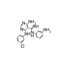 N=C(Nc1cccc(N)c1)c1c(N)ncnc1Nc1cccc(Cl)c1